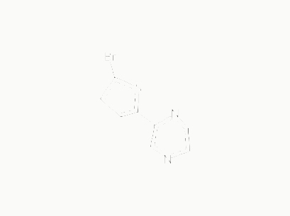 Brc1ccc(-c2cnccn2)s1